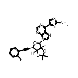 CC1(C)O[C@@H]2[C@H](O1)[C@@H](C#Cc1ccccc1F)O[C@H]2n1cnc2c(-c3csc(N)n3)ncnc21